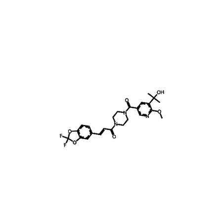 COc1ncc(C(=O)N2CCN(C(=O)/C=C/c3ccc4c(c3)OC(F)(F)O4)CC2)cc1C(C)(C)O